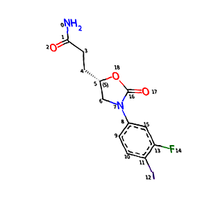 NC(=O)CC[C@H]1CN(c2ccc(I)c(F)c2)C(=O)O1